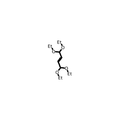 CCOC(/C=C/C(OCC)OCC)OCC